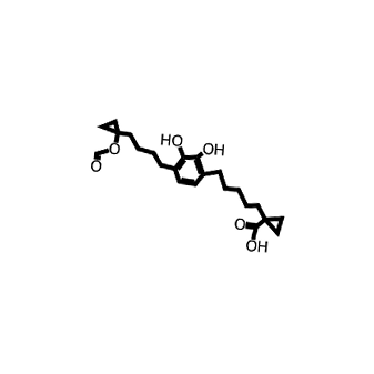 O=COC1(CCCCc2ccc(CCCCCC3(C(=O)O)CC3)c(O)c2O)CC1